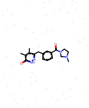 Cc1c(Cc2cccc(C(=O)N3CCN(C)C3)c2)n[nH]c(=O)c1C